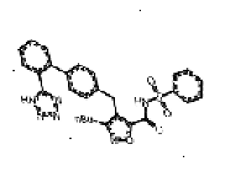 CCCCc1noc(C(=O)NS(=O)(=O)c2ccccc2)c1Cc1ccc(-c2ccccc2-c2nnn[nH]2)cc1